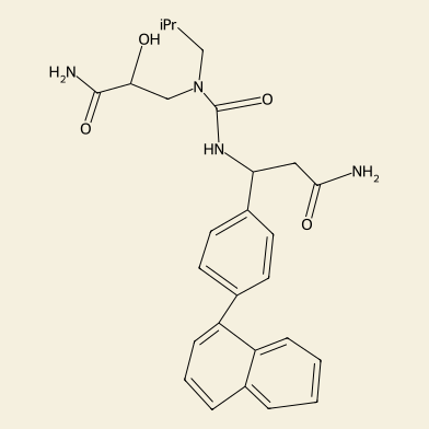 CC(C)CN(CC(O)C(N)=O)C(=O)NC(CC(N)=O)c1ccc(-c2cccc3ccccc23)cc1